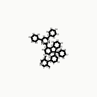 Cc1cncc(C)c1-c1cccc(C2(c3ccccc3)c3ccccc3-c3c(-c4nc(-c5ccccc5)cc(-c5ccccc5)n4)cccc32)c1